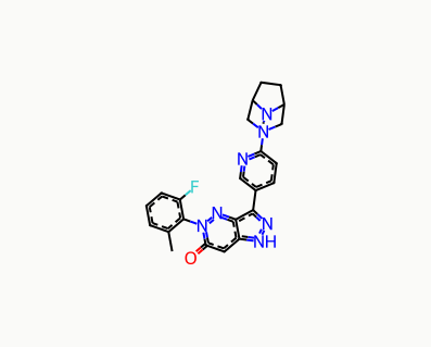 Cc1cccc(F)c1-n1nc2c(-c3ccc(N4CC5CCC(C4)N5C)nc3)n[nH]c2cc1=O